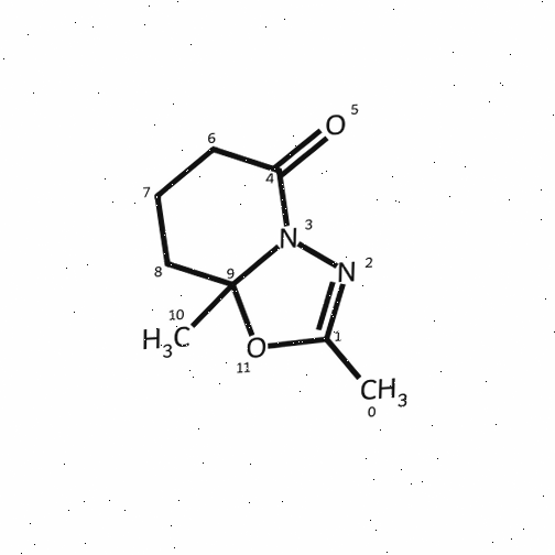 CC1=NN2C(=O)CCCC2(C)O1